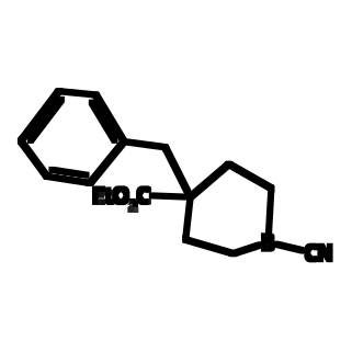 CCOC(=O)C1(Cc2ccccc2)CCB(C#N)CC1